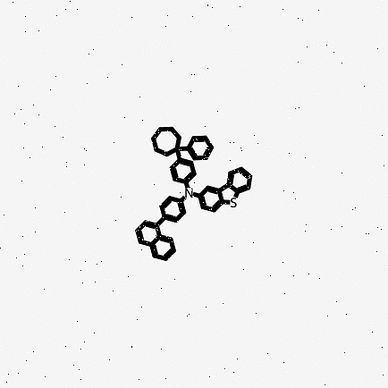 c1ccc(C2(c3ccc(N(c4ccc(-c5cccc6ccccc56)cc4)c4ccc5sc6ccccc6c5c4)cc3)CCCCCC2)cc1